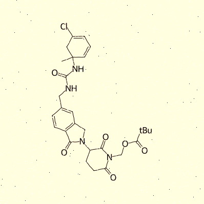 CC1(NC(=O)NCc2ccc3c(c2)CN(C2CCC(=O)N(COC(=O)C(C)(C)C)C2=O)C3=O)C=CC=C(Cl)C1